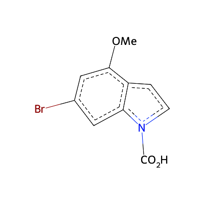 COc1cc(Br)cc2c1ccn2C(=O)O